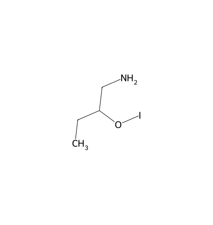 CCC(CN)OI